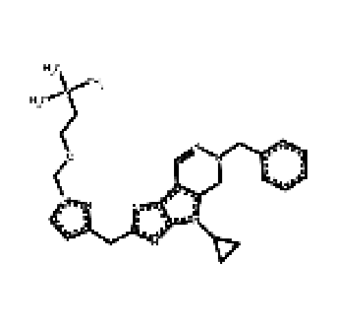 C[Si](C)(C)CCOCn1ccc(Cc2nc3c(s2)c2c(n3C3CC3)CN(Cc3ccccc3)N=C2)n1